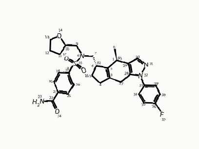 C[C@@H]1C2=C(CC[C@@H]2CN(CC2CCCO2)S(=O)(=O)c2ccc(C(N)=O)cc2)Cc2c1cnn2-c1ccc(F)cc1